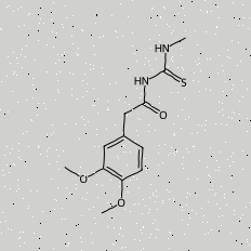 CNC(=S)NC(=O)Cc1ccc(OC)c(OC)c1